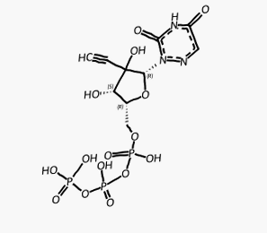 C#CC1(O)[C@@H](O)[C@@H](COP(=O)(O)OP(=O)(O)OP(=O)(O)O)O[C@H]1n1ncc(=O)[nH]c1=O